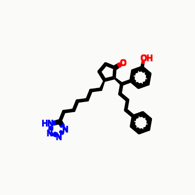 O=C1CC[C@H](CCCCCCc2nnn[nH]2)[C@@H]1C(CCCc1ccccc1)c1cccc(O)c1